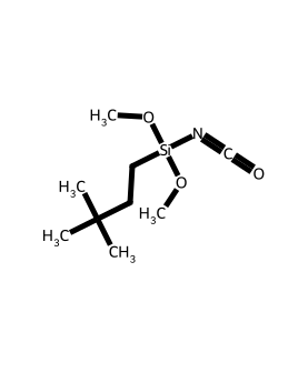 CO[Si](CCC(C)(C)C)(N=C=O)OC